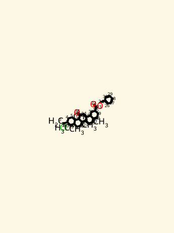 C=C(Cl)C1CCC2(C)C(CCC3(C)C4CCC5(C)CCC(C(=O)OCc6ccccc6)CC5C4=CC(=O)C32)C1(C)C